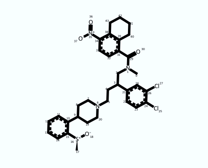 CN(CC(CCN1CCC(c2ccccc2[S@+](C)[O-])CC1)c1ccc(Cl)c(Cl)c1)C(=O)c1ccc([N+](=O)[O-])c2c1CCCC2